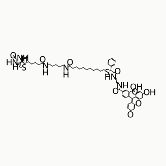 O=C(CCCCCCCCCCSC(C(=O)NCCNC(=O)c1ccc(-c2c3ccc(=O)cc-3oc3cc(O)ccc23)c(C(=O)O)c1)c1ccccc1)NCCCCCNC(=O)CCCCC1SC[C@@H]2NC(=O)N[C@H]12